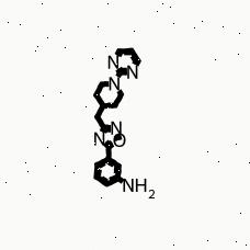 Nc1cccc(-c2nc(CC3CCN(c4ncccn4)CC3)no2)c1